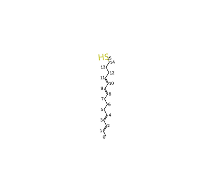 CC=CC=CCCCC=CC=CCCCS